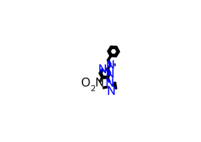 Cc1nccn1-c1nc(N(C)Cc2ccccc2)ncc1[N+](=O)[O-]